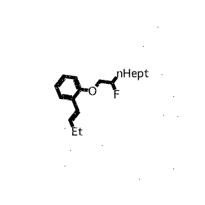 CCC=Cc1ccccc1OCC(F)CCCCCCC